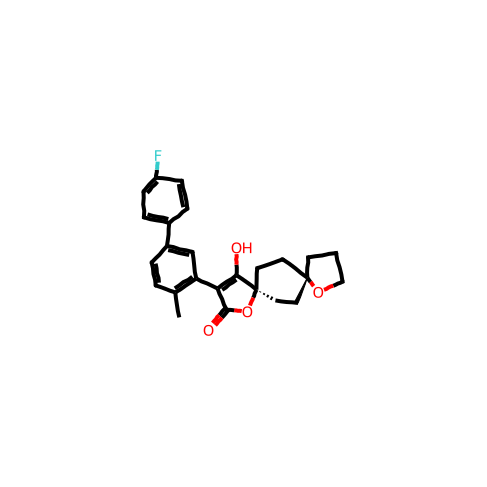 Cc1ccc(-c2ccc(F)cc2)cc1C1=C(O)[C@]2(CC[C@]3(CCCO3)CC2)OC1=O